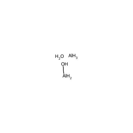 O.[AlH3].[OH][AlH2]